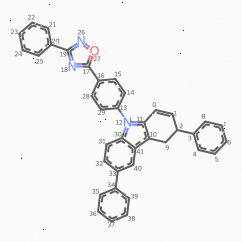 C1=CC(c2ccccc2)Cc2c1n(-c1ccc(-c3nc(-c4ccccc4)no3)cc1)c1ccc(-c3ccccc3)cc21